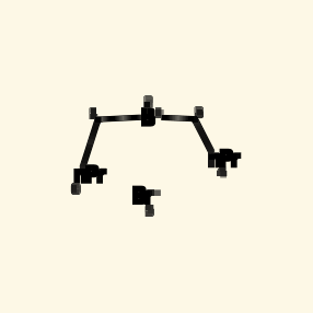 CCCC[B+]CCCC.[Br-]